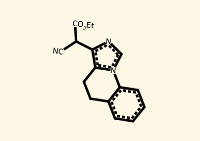 CCOC(=O)C(C#N)c1ncn2c1CCc1ccccc1-2